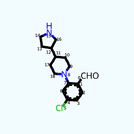 O=Cc1ccc(Cl)cc1N1CCC(C2CCNC2)CC1